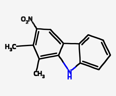 Cc1c([N+](=O)[O-])cc2c([nH]c3ccccc32)c1C